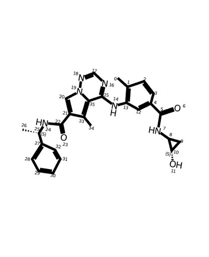 Cc1ccc(C(=O)NC2C[C@@H]2O)cc1Nc1ncnn2cc(C(=O)N[C@@H](C)c3ccccc3)c(C)c12